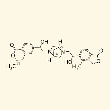 Cc1c(C(O)CN2C[C@@H]3C[C@H]2CN3CC(O)c2ccc3c(c2)C[C@H](C)OC3=O)ccc2c1COC2=O